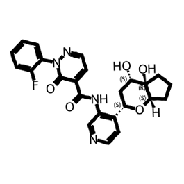 O=C(Nc1cnccc1[C@@H]1C[C@H](O)[C@]2(O)CCC[C@@H]2O1)c1ccnn(-c2ccccc2F)c1=O